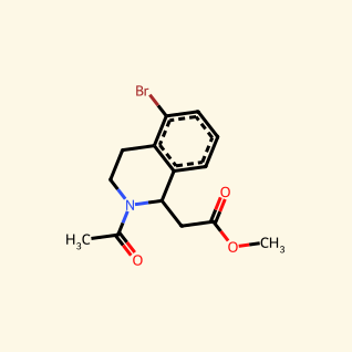 COC(=O)CC1c2cccc(Br)c2CCN1C(C)=O